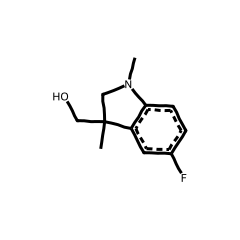 CN1CC(C)(CO)c2cc(F)ccc21